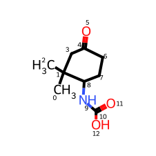 CC1(C)CC(=O)CCC1NC(=O)O